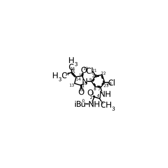 CCC(C)NC(=O)C(C)Nc1cc(N2C(=O)CC(=C(C)C)C2=O)c(Cl)cc1Cl